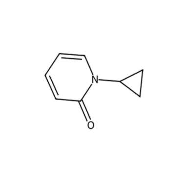 O=c1ccccn1C1CC1